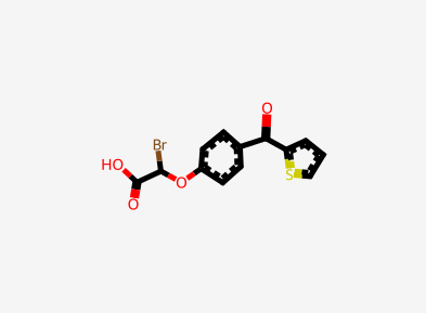 O=C(c1ccc(OC(Br)C(=O)O)cc1)c1cccs1